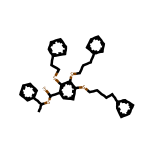 CC(SC([S])c1ccc(SCCCCc2ccccc2)c(SCCCc2ccccc2)c1SCCc1ccccc1)c1ccccc1